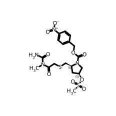 CN(C(N)=O)C(=O)CSC[C@@H]1C[C@H](OS(C)(=O)=O)CN1C(=O)OCc1ccc([N+](=O)[O-])cc1